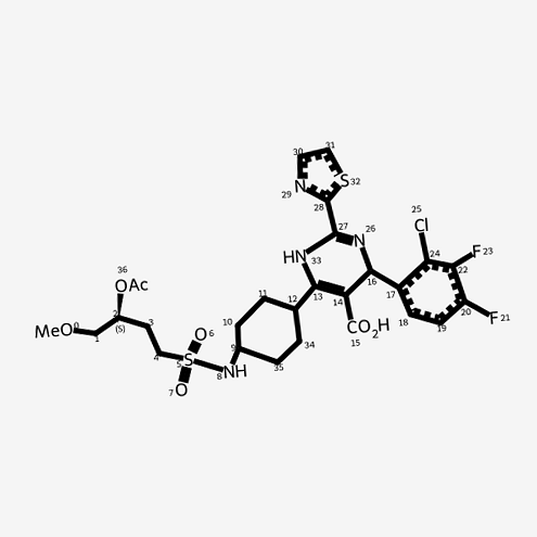 COC[C@H](CCS(=O)(=O)NC1CCC(C2=C(C(=O)O)C(c3ccc(F)c(F)c3Cl)N=C(c3nccs3)N2)CC1)OC(C)=O